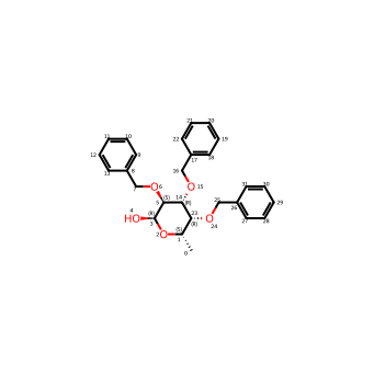 C[C@@H]1O[C@@H](O)[C@@H](OCc2ccccc2)[C@H](OCc2ccccc2)[C@@H]1OCc1ccccc1